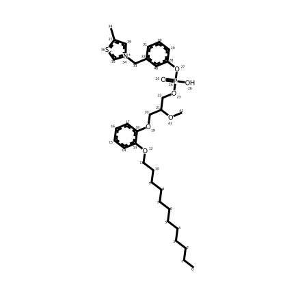 CCCCCCCCCCCCOc1ccccc1OCC(COP(=O)(O)Oc1cccc(C[n+]2csc(C)c2)c1)OC